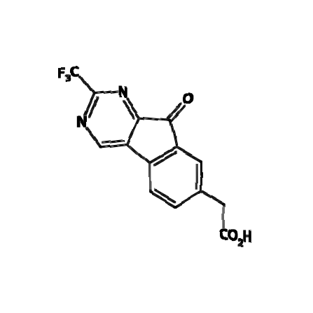 O=C(O)Cc1ccc2c(c1)C(=O)c1nc(C(F)(F)F)ncc1-2